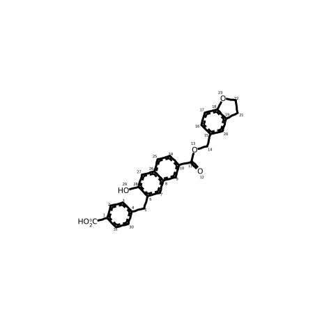 O=C(O)c1ccc(Cc2cc3cc(C(=O)OCc4ccc5c(c4)CCO5)ccc3cc2O)cc1